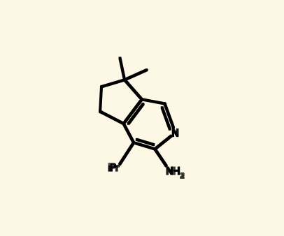 CC(C)c1c(N)ncc2c1CCC2(C)C